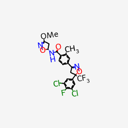 COC1=NO[C@@H](NC(=O)c2ccc(C3=NOC(c4cc(Cl)c(F)c(Cl)c4)(C(F)(F)F)C3)cc2C)C1